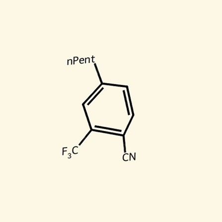 CCCCCc1ccc(C#N)c(C(F)(F)F)c1